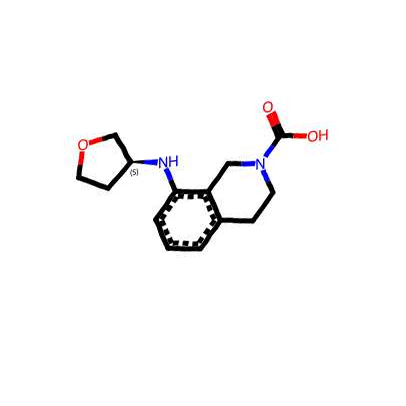 O=C(O)N1CCc2cccc(N[C@H]3CCOC3)c2C1